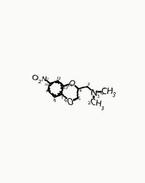 CN(C)CC1COc2ccc([N+](=O)[O-])cc2O1